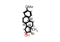 COc1ccc2c(c1)CC[C@@H]1[C@@H]2CC[C@]2(C)[C@H](Br)[C@@H](O)C[C@@H]12